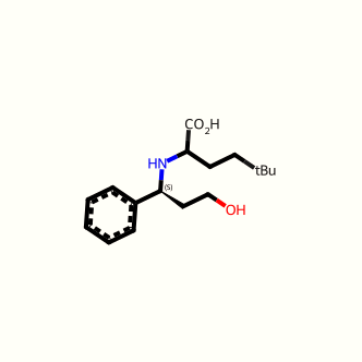 CC(C)(C)CCC(N[C@@H](CCO)c1ccccc1)C(=O)O